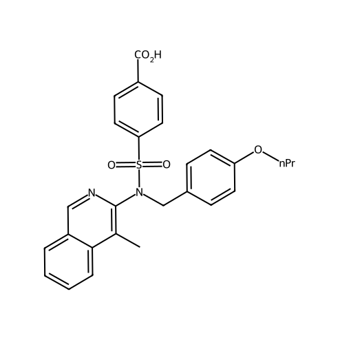 CCCOc1ccc(CN(c2ncc3ccccc3c2C)S(=O)(=O)c2ccc(C(=O)O)cc2)cc1